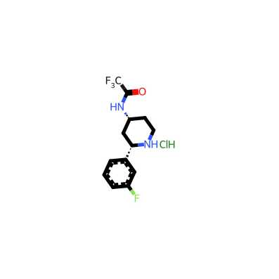 Cl.O=C(N[C@@H]1CCN[C@H](c2cccc(F)c2)C1)C(F)(F)F